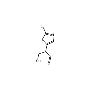 O=CC(CO)c1cnc(Cl)s1